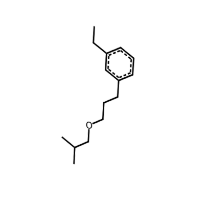 CCc1cccc(CCCOCC(C)C)c1